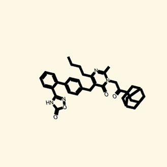 CCCCc1nc(C)n(CC(=O)C23CC4CC(CC(C4)C2)C3)c(=O)c1Cc1ccc(-c2ccccc2-c2noc(=O)[nH]2)cc1